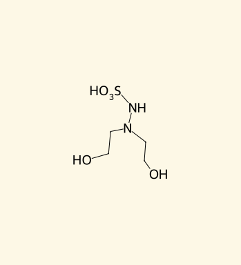 O=S(=O)(O)NN(CCO)CCO